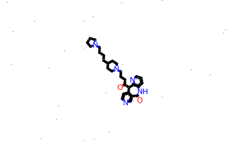 O=C1Nc2cccnc2C(C(=O)CCCN2CCC(CCCCN3CCCC3)CC2)c2ccncc21